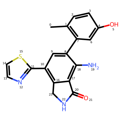 Cc1ccc(O)cc1-c1cc(-c2nccs2)c2c(c1N)C(=O)NC2